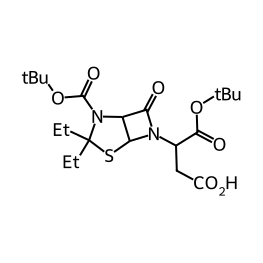 CCC1(CC)SC2C(C(=O)N2C(CC(=O)O)C(=O)OC(C)(C)C)N1C(=O)OC(C)(C)C